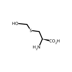 N[C@@H](CSCO)C(=O)O